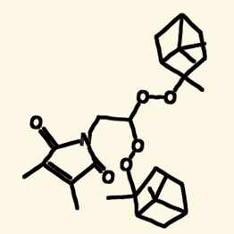 CC1=C(C)C(=O)N(CC(OOC2(C)CCC3CC2C3(C)C)OOC2(C)CCC3CC2C3(C)C)C1=O